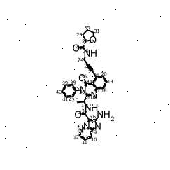 CC(NC(=O)c1c(N)nc2cccnn12)c1nc2cccc(C#CCNC(=O)[C@H]3CCCO3)c2c(=O)n1-c1ccccc1